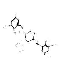 CC(=O)[O-].CC(=O)[O-].CCC(C)c1cc(C=NC2CCC(N=Cc3cc(C(C)CC)cc(C(C)C)c3O)CC2)c(O)c(C(C)C)c1.[Co+2]